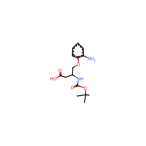 CC(C)(C)OC(=O)NC(COc1ccccc1N)CC(=O)O